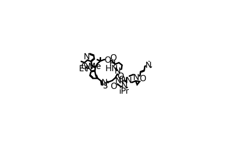 CCn1c(-c2cccnc2[C@H](C)OC)c2c3cc(ccc31)-c1csc(n1)C[C@H](NC(=O)C(C(C)C)N(C)C(=O)N1CCN(C(=O)/C=C/CN(C)C)C3(CC3)C1)C(=O)N1CCC[C@H](N1)C(=O)OCC(C)(C)C2